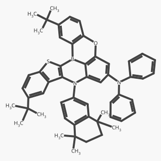 CC(C)(C)c1ccc2c(c1)B1c3sc4ccc(C(C)(C)C)cc4c3N(c3ccc4c(c3)C(C)(C)CCC4(C)C)c3cc(N(c4ccccc4)c4ccccc4)cc(c31)O2